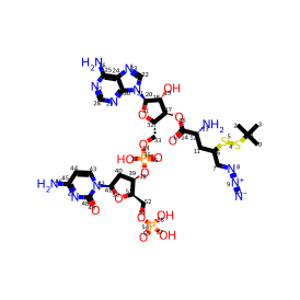 CC(C)(C)SSC(CN=[N+]=[N-])C[C@@H](N)C(=O)O[C@H]1[C@@H](O)[C@H](n2cnc3c(N)ncnc32)O[C@H]1COP(=O)(O)O[C@H]1C[C@H](n2ccc(N)nc2=O)O[C@@H]1COP(=O)(O)O